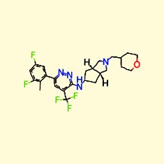 Cc1c(F)cc(F)cc1-c1cc(C(F)(F)F)c(NC2C[C@@H]3CN(CC4CCOCC4)C[C@@H]3C2)nn1